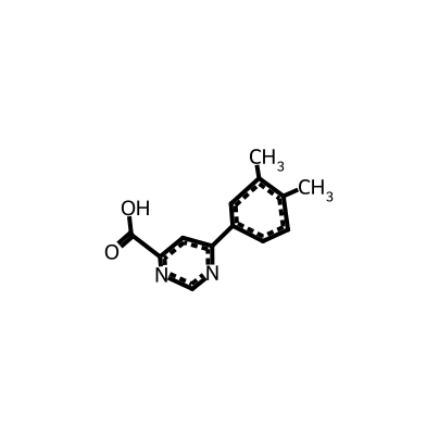 Cc1ccc(-c2cc(C(=O)O)ncn2)cc1C